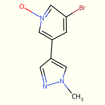 Cn1cc(-c2cc(Br)c[n+]([O-])c2)cn1